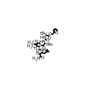 CC(C)(C)[C@H](NC(=O)N[C@H](C(=O)N1C[C@H]2[C@@H]([C@H]1C(=O)NC(CC1CC1)C(=O)C(N)=O)C2(C)C)C(C)(C)C)C(=O)OCc1ccco1